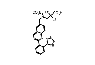 CCOC(=O)N(Cc1ccc2nc(-c3ccccc3-c3nnn[nH]3)ccc2c1)CC(CC)(CC)C(=O)O